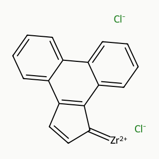 [Cl-].[Cl-].[Zr+2]=[C]1C=Cc2c1c1ccccc1c1ccccc21